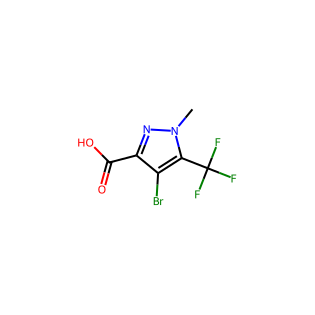 Cn1nc(C(=O)O)c(Br)c1C(F)(F)F